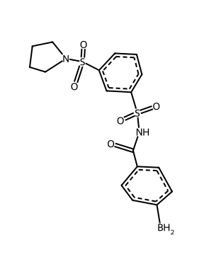 Bc1ccc(C(=O)NS(=O)(=O)c2cccc(S(=O)(=O)N3CCCC3)c2)cc1